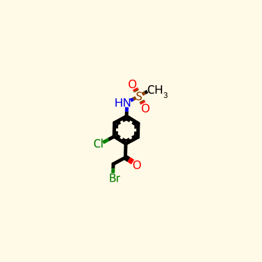 CS(=O)(=O)Nc1ccc(C(=O)CBr)c(Cl)c1